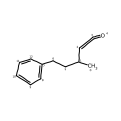 CC(C=C=O)CCc1ccccc1